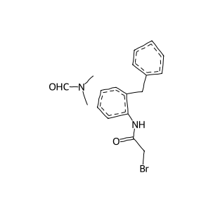 CN(C)C=O.O=C(CBr)Nc1ccccc1Cc1ccccc1